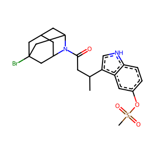 CC(CC(=O)N1C2CC3CC1CC(Br)(C3)C2)c1c[nH]c2ccc(OS(C)(=O)=O)cc12